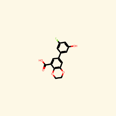 O=C(O)c1cc(-c2cc(O)cc(F)c2)cc2c1OCCO2